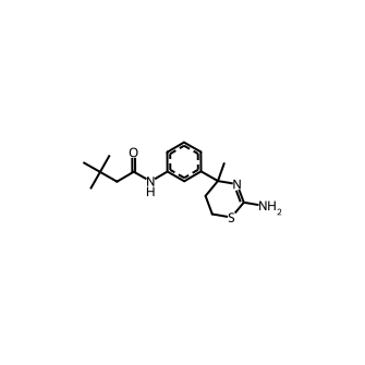 CC(C)(C)CC(=O)Nc1cccc(C2(C)CCSC(N)=N2)c1